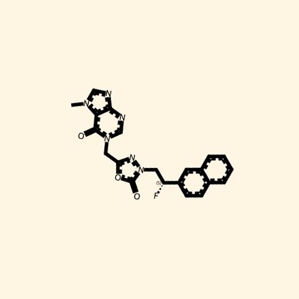 Cn1cnc2ncn(Cc3nn(C[C@@H](F)c4ccc5ccccc5c4)c(=O)o3)c(=O)c21